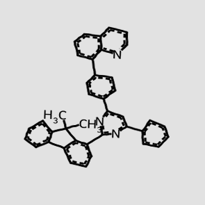 CC1(C)c2ccccc2-c2cccc(-c3nc(-c4ccccc4)cc(-c4ccc(-c5cccc6cccnc56)cc4)n3)c21